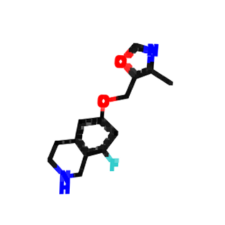 Cc1ncoc1COc1cc(F)c2c(c1)CCNC2